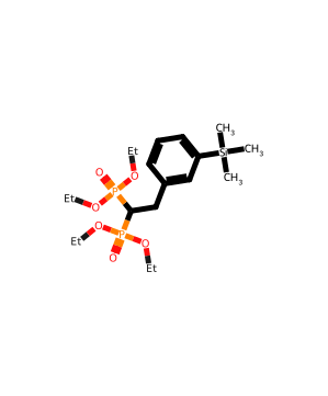 CCOP(=O)(OCC)C(Cc1cccc([Si](C)(C)C)c1)P(=O)(OCC)OCC